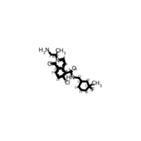 C[C@H](CN)n1ccc2c(C(=O)NCC3CCCC(C)(F)C3)c(Cl)ccc2c1=O